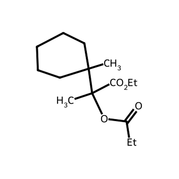 CCOC(=O)C(C)(OC(=O)CC)C1(C)CCCCC1